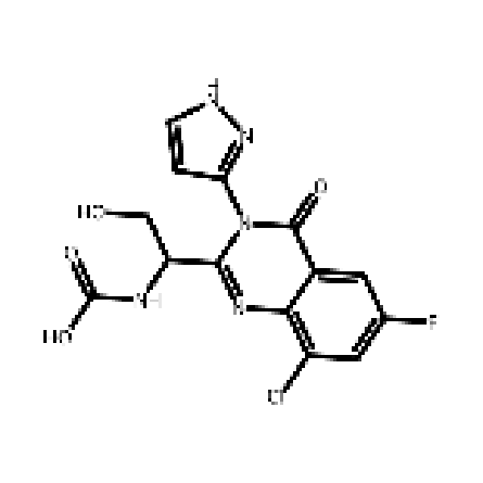 O=C(O)NC(CO)c1nc2c(Cl)cc(F)cc2c(=O)n1-c1cc[nH]n1